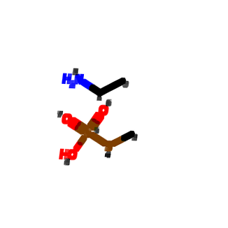 CCN.CSS(=O)(=O)O